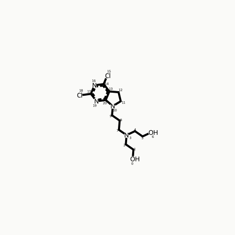 OCCN(CCO)CCCN1CCc2c(Cl)nc(Cl)nc21